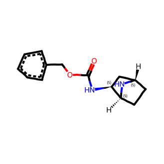 O=C(N[C@H]1C[C@@H]2CC[C@@H]1N2)OCc1ccccc1